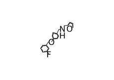 Fc1cccc(COc2ccc(CNCc3ccco3)cc2)c1